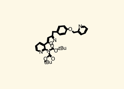 CC(C)(C)OC(=O)N(C(=O)OC(C)(C)C)c1ncccc1-c1cc(Cc2ccc(OCc3ccccn3)cc2)no1